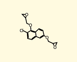 Clc1ccc2cc(OCC3CO3)ccc2c1OCC1CO1